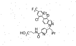 CCOc1c(-c2ccc(C(F)(F)F)cc2Cl)ccc2c1cnn2C(CC(C)C)c1ccc(C(=O)NCCC(=O)O)nc1